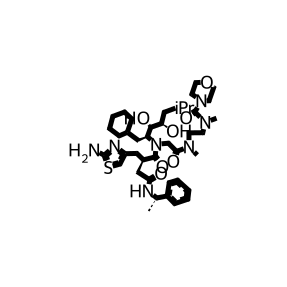 CC(C)C[C@H](O)[C@H](O)[C@H](CC1CCCCC1)N(CC(=O)N(C)CCN(C)C(=O)N1CCOCC1)C(=O)[C@@H](CC(=O)N[C@@H](C)c1ccccc1)Cc1csc(N)n1